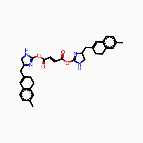 Cc1ccc2c(c1)CCC(CC1CNC(OC(=O)/C=C/C(=O)OC3=NC(CC4=Cc5ccc(C)cc5CC4)CN3)=N1)=C2